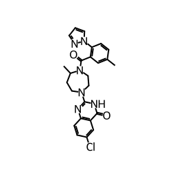 Cc1ccc(-n2cccn2)c(C(=O)N2CCN(c3nc4ccc(Cl)cc4c(=O)[nH]3)CCC2C)c1